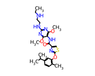 CCNCCNc1nc(OC)c(NC(=O)c2csc(Oc3cc(C(C)C)ccc3C)n2)c(OC)n1